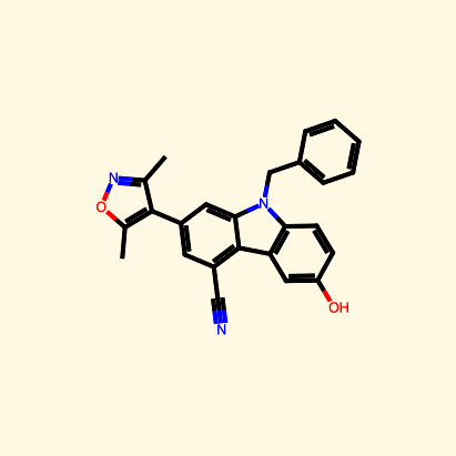 Cc1noc(C)c1-c1cc(C#N)c2c3cc(O)ccc3n(Cc3ccccc3)c2c1